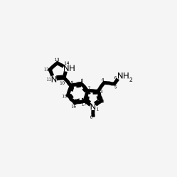 Cn1cc(CCN)c2cc(C3=NCCN3)ccc21